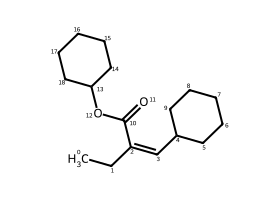 CCC(=CC1CCCCC1)C(=O)OC1CCCCC1